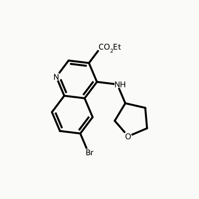 CCOC(=O)c1cnc2ccc(Br)cc2c1NC1CCOC1